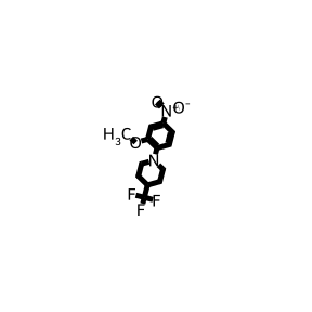 COc1cc([N+](=O)[O-])ccc1N1CCC(C(F)(F)F)CC1